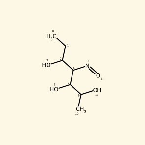 CCC(O)C(N=O)C(O)C(C)O